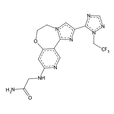 NC(=O)CNc1cc2c(cn1)-c1nc(-c3ncnn3CC(F)(F)F)cn1CCO2